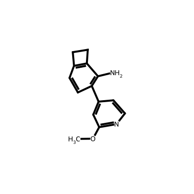 COc1cc(-c2ccc3c(c2N)CC3)ccn1